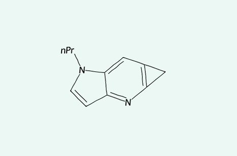 CCCn1ccc2nc3c(cc21)C3